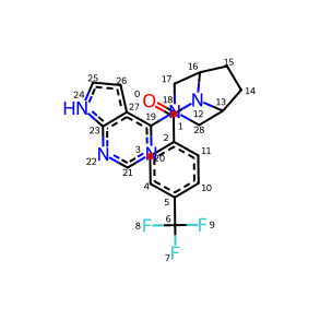 O=C(c1ccc(C(F)(F)F)cc1)N1C2CCC1CN(c1ncnc3[nH]ccc13)C2